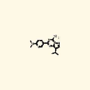 CC(C)c1cnn2c(N)nc(-c3ccc(N(C)C)nc3)nc12